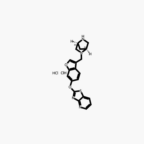 Cl.Cl.c1cnc2nc(Oc3ccc4c(CN5C[C@@H]6C[C@H]5CN6)coc4c3)sc2c1